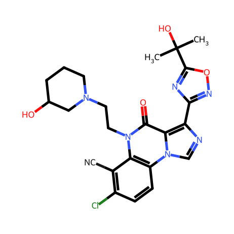 CC(C)(O)c1nc(-c2ncn3c2c(=O)n(CCN2CCCC(O)C2)c2c(C#N)c(Cl)ccc23)no1